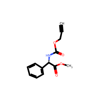 C#CCOC(=O)N[C@@H](C(=O)OC)c1ccccc1